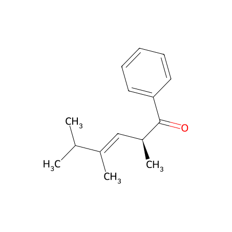 C/C(=C\[C@H](C)C(=O)c1ccccc1)C(C)C